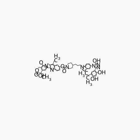 CCc1c2c(nc3ccc(OC(=O)N4CCC(CCCn5ccc6cc(-n7c(O)nnc7-c7cc(C(C)C)c(O)cc7O)ccc65)CC4)cc13)-c1cc3c(c(=O)n1C2)COC(=O)C3(O)CC